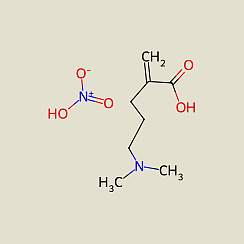 C=C(CCCN(C)C)C(=O)O.O=[N+]([O-])O